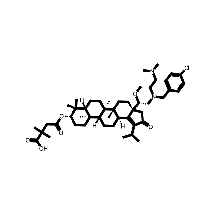 CO[C@H](CN(CCN(C)C)Cc1ccc(Cl)cc1)[C@@]12CC[C@]3(C)[C@H](CC[C@@H]4[C@@]5(C)CC[C@H](OC(=O)CC(C)(C)C(=O)O)C(C)(C)[C@@H]5CC[C@]43C)C1=C(C(C)C)C(=O)C2